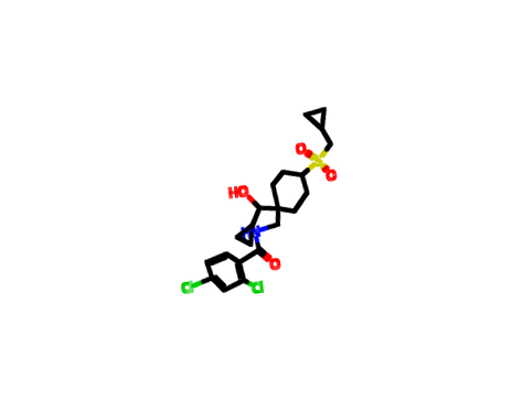 O=C(NCC1(C(O)C2CC2)CCC(S(=O)(=O)CC2CC2)CC1)c1ccc(Cl)cc1Cl